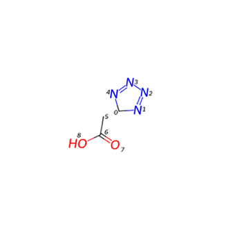 C1N=NN=N1.CC(=O)O